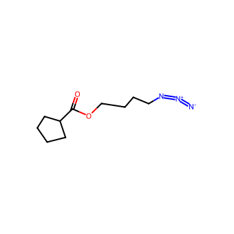 [N-]=[N+]=NCCCCOC(=O)C1CCCC1